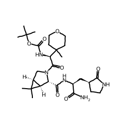 CC(C)(C)OC(=O)N[C@H](C(=O)N1C[C@H]2[C@@H]([C@H]1C(=O)N[C@@H](C[C@@H]1CCNC1=O)C(N)=O)C2(C)C)C1(C)CCOCC1